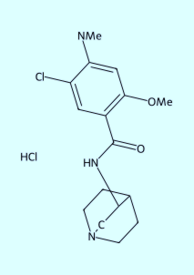 CNc1cc(OC)c(C(=O)NC2CN3CCC2CC3)cc1Cl.Cl